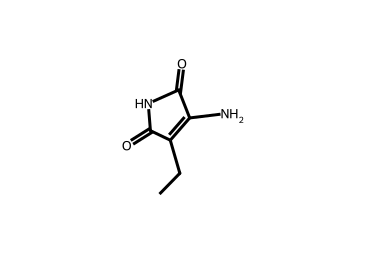 CCC1=C(N)C(=O)NC1=O